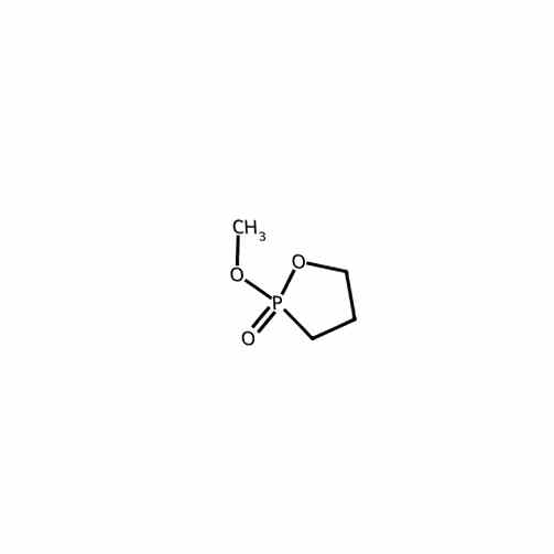 COP1(=O)CCCO1